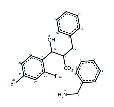 NCc1ccccc1.O=C(O)C(Cc1ccccc1)C(O)c1ccc(Br)cc1F